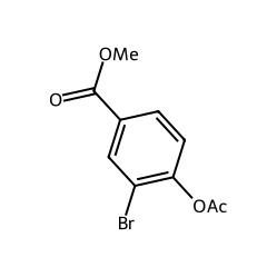 COC(=O)c1ccc(OC(C)=O)c(Br)c1